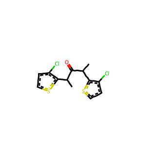 CC(C(=O)C(C)c1sccc1Cl)c1sccc1Cl